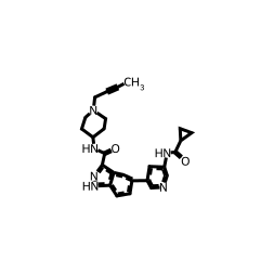 CC#CCN1CCC(NC(=O)c2n[nH]c3ccc(-c4cncc(NC(=O)C5CC5)c4)cc23)CC1